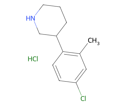 Cc1cc(Cl)ccc1C1CCCNC1.Cl